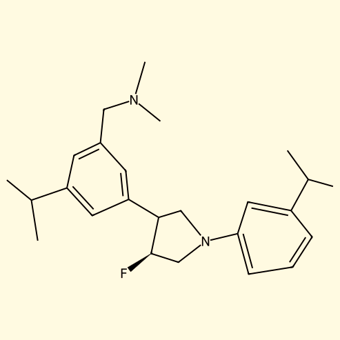 CC(C)c1cc(CN(C)C)cc(C2CN(c3cccc(C(C)C)c3)C[C@H]2F)c1